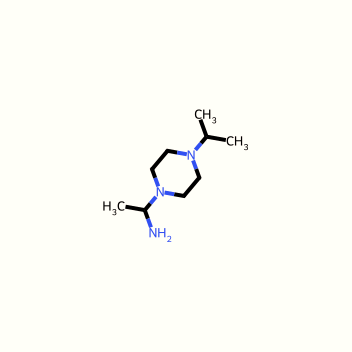 CC(C)N1CCN(C(C)N)CC1